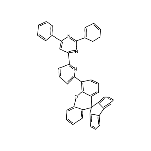 C1=CCCC(c2nc(-c3ccccc3)cc(-c3cccc(-c4cccc5c4Oc4ccccc4C54c5ccccc5-c5ccccc54)n3)n2)=C1